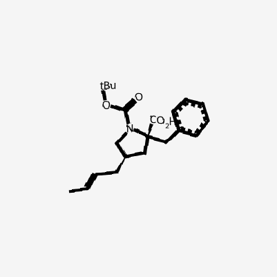 CC=CC[C@H]1CN(C(=O)OC(C)(C)C)[C@@](Cc2ccccc2)(C(=O)O)C1